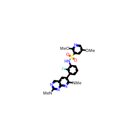 CNc1ncc2cc(-c3cccc(NS(=O)(=O)c4cc(OC)cnc4OC)c3F)c(NC)nc2n1